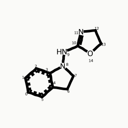 c1ccc2c(c1)CCN2NC1=NCCO1